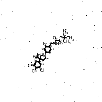 CC(C)(C)OC(=O)C(=O)NCc1ccc(N2CCC(c3cc(Cl)c(Cl)c(Cl)c3)(C(F)(F)F)C2)cc1F